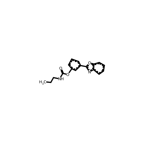 CCCNC(=O)Oc1cccc(-c2nc3ccccc3o2)c1